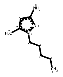 CCCCCn1nc(N)cc1C